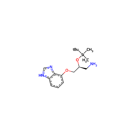 CC(C)(C)[Si](C)(C)O[C@@H](CN)COc1cccc2[nH]cnc12